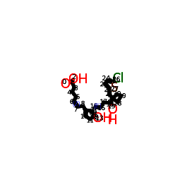 O=C(O)CCC/C=C\CC1=CC[C@@H](O)[C@@H]1/C=C/CC(O)C1(Cc2ccc(Cl)s2)CCC1